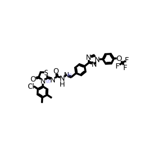 Cc1cc(Cl)c(N2C(=O)CS/C2=N\C(=O)N/N=C/c2ccc(-c3ncn(-c4ccc(OC(F)(F)F)cc4)n3)cc2)cc1C